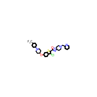 O=C(NC1CCN(Cc2ccccn2)CC1)c1sc2cc(OC3CCN(c4ccc(C(F)(F)F)cc4)CC3)ccc2c1Cl